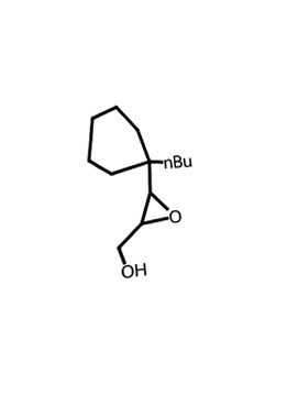 CCCCC1(C2OC2CO)CCCCC1